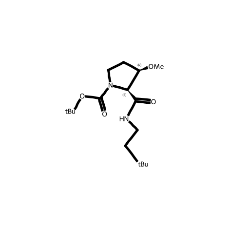 CO[C@@H]1CCN(C(=O)OC(C)(C)C)[C@@H]1C(=O)NCCC(C)(C)C